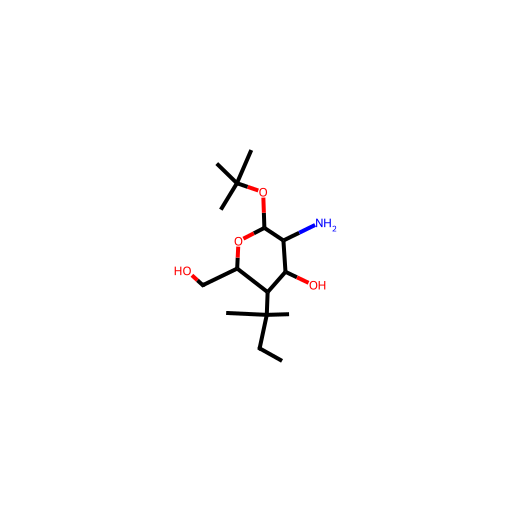 CCC(C)(C)C1C(CO)OC(OC(C)(C)C)C(N)C1O